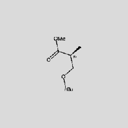 CCCCOC[C@H](C)C(=O)OC